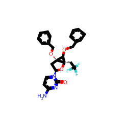 Nc1ccn([C@H]2C[C@@]3(OCc4ccccc4)C(OCc4ccccc4)[C@@]3(CC(F)(F)F)O2)c(=O)n1